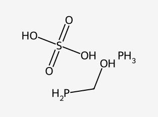 O=S(=O)(O)O.OCP.P